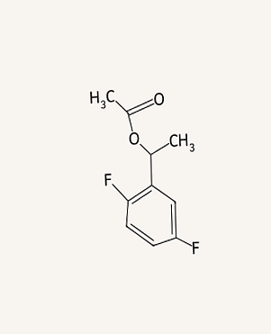 CC(=O)OC(C)c1cc(F)ccc1F